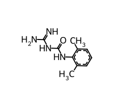 Cc1cccc(C)c1NC(=O)NC(=N)N